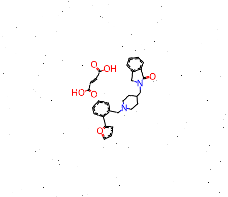 O=C(O)/C=C/C(=O)O.O=C1c2ccccc2CN1CC1CCN(Cc2ccccc2-c2ccco2)CC1